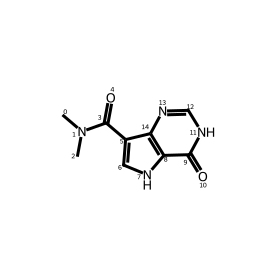 CN(C)C(=O)c1c[nH]c2c(=O)[nH]cnc12